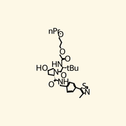 CCCOCCCOCC(=O)N[C@H](C(=O)N1C[C@H](O)C[C@H]1C(=O)NCc1ccc(-c2scnc2C)cc1)C(C)(C)C